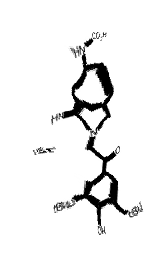 Br.CC(C)(C)c1cc(C(=O)CN2Cc3ccc(NC(=O)O)cc3C2=N)cc(C(C)(C)C)c1O